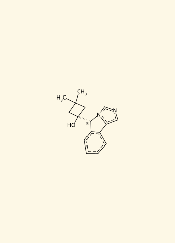 CC1(C)CC(O)([C@H]2c3ccccc3-c3cncn32)C1